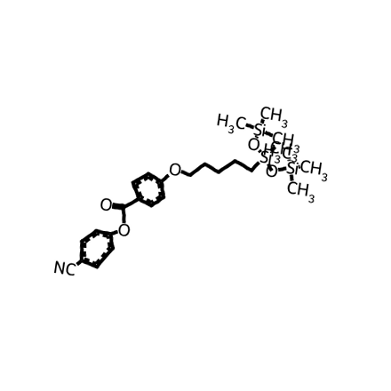 C[Si](C)(C)O[Si](C)(CCCCCOc1ccc(C(=O)Oc2ccc(C#N)cc2)cc1)O[Si](C)(C)C